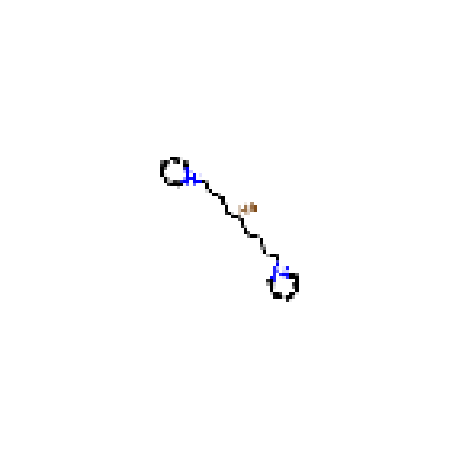 [Br-].[Br-].c1cc[n+](CCCCCCCCC[n+]2ccccc2)cc1